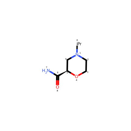 CC(C)N1CCO[C@@H](C(N)=O)C1